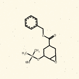 CC(C)(C)[Si](C)(C)OC1CC(C(=O)OCc2ccccc2)CC2OC21